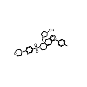 O=S(=O)(c1ccc(N2CCOCC2)nc1)N1CCC2=Cc3c(cnn3-c3ccc(F)cc3)C[C@]2(CN2CC[C@@H](O)C2)C1